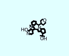 Cn1cc(-c2cc3c(C(C)(C)O)cccc3n2C(c2ccccc2)C2CCOCC2)c2ccnc(O)c21